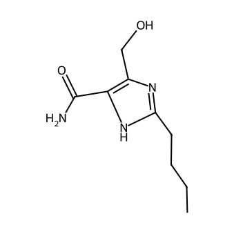 CCCCc1nc(CO)c(C(N)=O)[nH]1